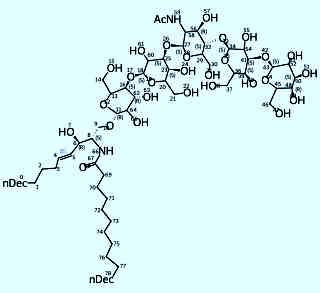 CCCCCCCCCCCCC/C=C/[C@@H](O)[C@H](CO[C@@H]1OC(CO)[C@@H](O[C@@H]2OC(CO)[C@H](O)[C@H](O[C@@H]3OC(CO)[C@@H](O[C@@H]4OC(CO)[C@H](O)[C@H](O[C@@H]5OC(CO)[C@H](O)[C@H](O)C5O)C4O)[C@H](O)C3NC(C)=O)C2O)[C@H](O)C1O)NC(=O)CCCCCCCCCCCCCCCCCCC